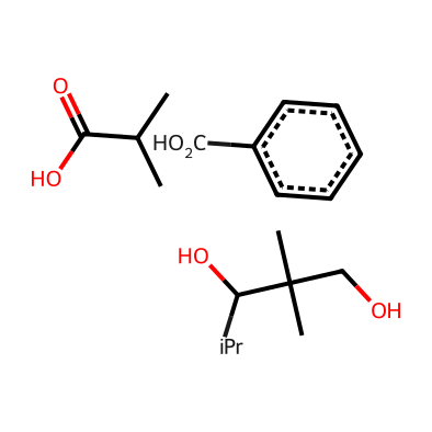 CC(C)C(=O)O.CC(C)C(O)C(C)(C)CO.O=C(O)c1ccccc1